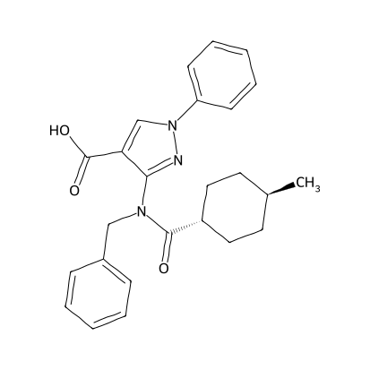 C[C@H]1CC[C@H](C(=O)N(Cc2ccccc2)c2nn(-c3ccccc3)cc2C(=O)O)CC1